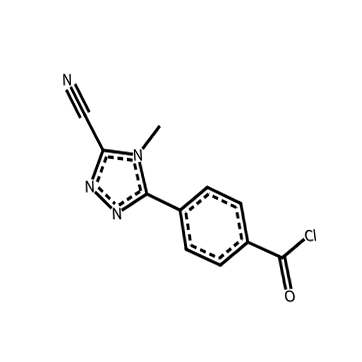 Cn1c(C#N)nnc1-c1ccc(C(=O)Cl)cc1